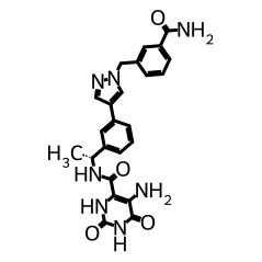 C[C@@H](NC(=O)c1[nH]c(=O)[nH]c(=O)c1N)c1cccc(-c2cnn(Cc3cccc(C(N)=O)c3)c2)c1